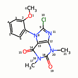 COc1ccccc1-n1c(Cl)nc2c1c(=O)n(C)c(=O)n2C